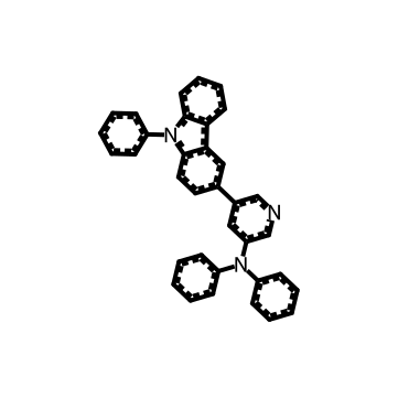 c1ccc(N(c2ccccc2)c2cncc(-c3ccc4c(c3)c3ccccc3n4-c3ccccc3)c2)cc1